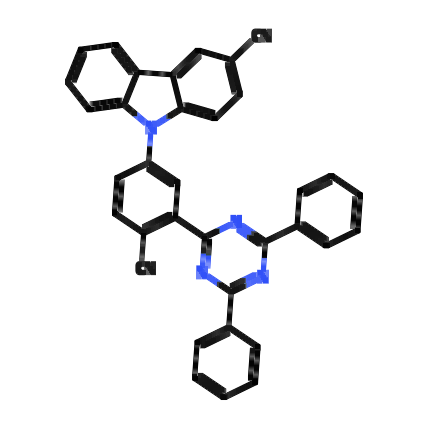 N#Cc1ccc2c(c1)c1ccccc1n2-c1ccc(C#N)c(-c2nc(-c3ccccc3)nc(-c3ccccc3)n2)c1